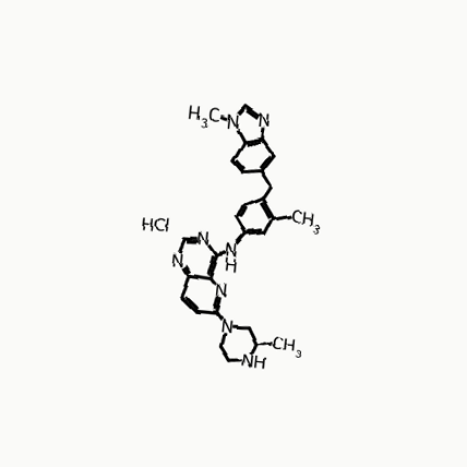 Cc1cc(Nc2ncnc3ccc(N4CCN[C@H](C)C4)nc23)ccc1Cc1ccc2c(c1)ncn2C.Cl